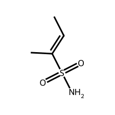 C/C=C(\C)S(N)(=O)=O